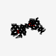 Cc1ccc(N(c2ccc(C(C)C)cc2)c2ccc3c4cc5c(cc4n4c6ccccc6c2c34)c2ccc(N(c3ccc(C(C)C)cc3)c3ccc(C)c(C)c3-c3ccccc3)c3c4ccccc4n5c23)c(-c2ccccc2)c1C